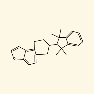 CC1(C)c2ccccc2C(C)(C)C1C1CCc2c(ccc3sccc23)C1